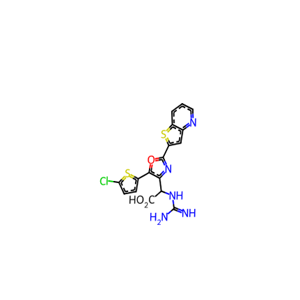 N=C(N)NC(C(=O)O)c1nc(-c2cc3ncccc3s2)oc1-c1ccc(Cl)s1